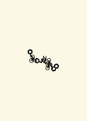 O=C(OCc1ccccc1)N1CCC(Cn2cncc2CN2C(=O)CN(c3cccc4ccccc34)C2=O)CC1